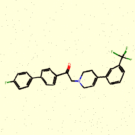 O=C(CN1CC=C(c2cccc(C(F)(F)F)c2)CC1)c1ccc(-c2ccc(F)cc2)cc1